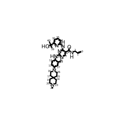 C=CCNC(=O)c1cnc(Nc2ccc(N3CCC4(CCN(C)CC4)CC3)cc2F)nc1Nc1cccc(C(C)(C)O)n1